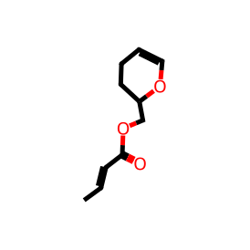 CC=CC(=O)OCC1CCC=CO1